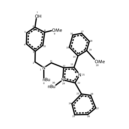 CCCCN(Cc1ccc(O)c(OC)c1)Cc1c(-c2ccccc2OC)nc(-c2ccccc2)n1CCCC